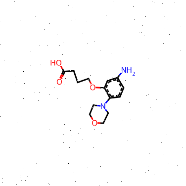 Nc1ccc(N2CCOCC2)c(OCCCC(=O)O)c1